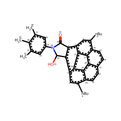 CCCCc1cc2c3c(c4cc(CCCC)c5ccc6ccc1c1c6c5c4c21)C(O)N(c1cc(C)c(C)c(C)c1)C3=O